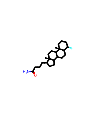 CC12CCC3C(CCC4C(F)CCCC43C)C1CCC2CCCC(N)=O